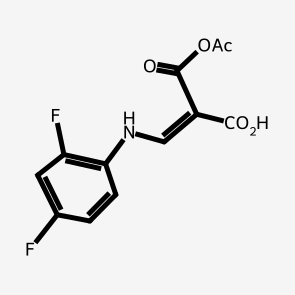 CC(=O)OC(=O)C(=CNc1ccc(F)cc1F)C(=O)O